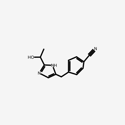 CC(O)c1ncc(Cc2ccc(C#N)cc2)[nH]1